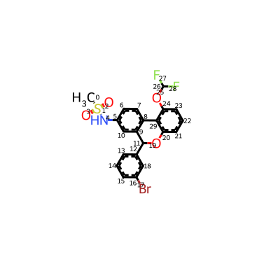 CS(=O)(=O)Nc1ccc2c(c1)C(c1cccc(Br)c1)Oc1cccc(OC(F)F)c1-2